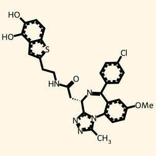 COc1ccc2c(c1)C(c1ccc(Cl)cc1)=N[C@@H](CC(=O)NCCc1cc3c(O)c(O)ccc3s1)c1nnc(C)n1-2